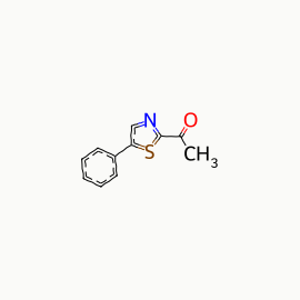 CC(=O)c1ncc(-c2ccccc2)s1